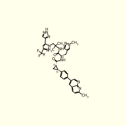 Cc1ccc2cc(-c3ccc([C@H]4C[C@@H]4C(=O)N[C@H](Cc4cnn(C)c4)C(=O)NC(C)(C)Cn4nc(C(F)(F)F)cc4-c4cn[nH]n4)cc3)cnc2n1